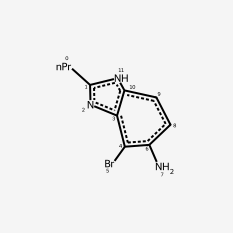 CCCc1nc2c(Br)c(N)ccc2[nH]1